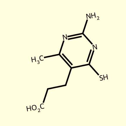 Cc1nc(N)nc(S)c1CCC(=O)O